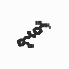 N=C(N)c1ccc(OC(=O)C=Cc2ccccc2CO)cc1